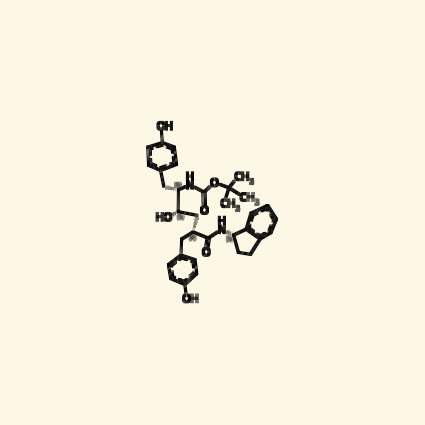 CC(C)(C)OC(=O)N[C@@H](Cc1ccc(O)cc1)[C@@H](O)C[C@@H](Cc1ccc(O)cc1)C(=O)N[C@H]1CCc2ccccc21